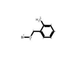 Cc1ccccc1COBr